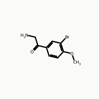 COc1ccc(C(=O)CN)cc1Br